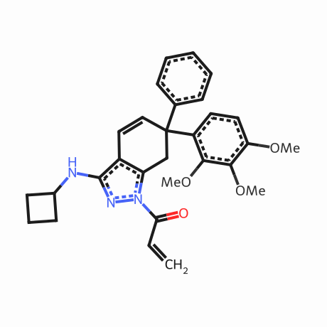 C=CC(=O)n1nc(NC2CCC2)c2c1CC(c1ccccc1)(c1ccc(OC)c(OC)c1OC)C=C2